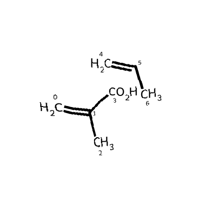 C=C(C)C(=O)O.C=CC